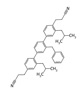 CC(C)Cc1cc(-c2ccc(-c3ccc(CCC#N)cc3CC(C)C)cc2Cc2ccccc2)ccc1CCC#N